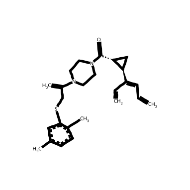 C=C/C=C(\C=C)[C@@H]1C[C@H]1C(=O)N1CCN(C(=C)CSc2cc(C)ccc2C)CC1